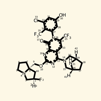 [2H][C@]1(F)CN2CCC[C@@]2(COc2nc(N3C[C@H]4CC[C@@H](C3)N4)c3cc(C(F)(F)F)n(-c4cc(O)cc(Cl)c4C(F)(F)F)c(=O)c3n2)C1